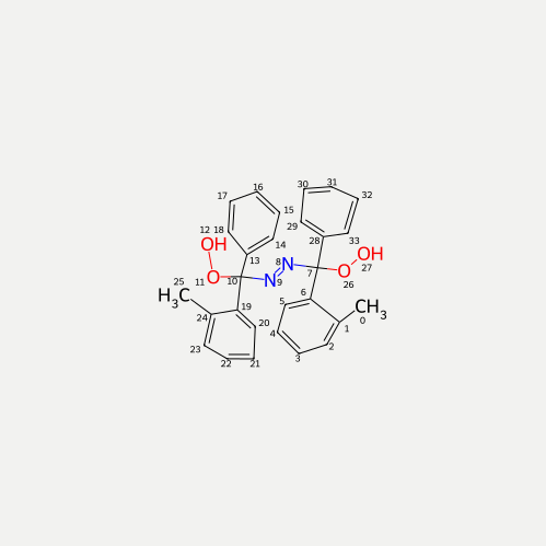 Cc1ccccc1C(N=NC(OO)(c1ccccc1)c1ccccc1C)(OO)c1ccccc1